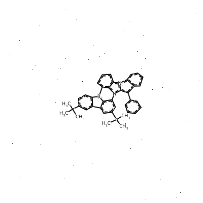 CC(C)(C)c1ccc2c(c1)-c1cc(C(C)(C)C)cc3c1B2c1cccc2c1n-3c1c(-c3ccccc3)c3ccccc3n21